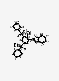 CCC(C)(c1ccccc1)c1cc(-n2nc3ccccc3n2)c(O)c(C(C)(CC)c2ccccc2)c1